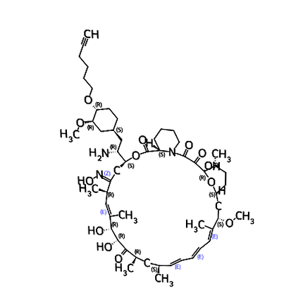 C#CCCCCO[C@@H]1CC[C@@H](C[C@@H](N)[C@@H]2C/C(=N/O)[C@H](C)/C=C(\C)[C@@H](O)[C@@H](O)C(=O)[C@H](C)C[C@H](C)/C=C/C=C/C=C(\C)[C@@H](OC)C[C@@H]3CC[C@@H](C)[C@@](O)(O3)C(=O)C(=O)N3CCCC[C@H]3C(=O)O2)C[C@H]1OC